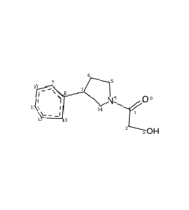 O=C(CO)N1CCC(c2ccccc2)C1